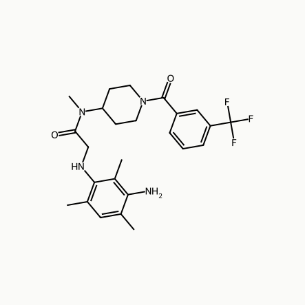 Cc1cc(C)c(NCC(=O)N(C)C2CCN(C(=O)c3cccc(C(F)(F)F)c3)CC2)c(C)c1N